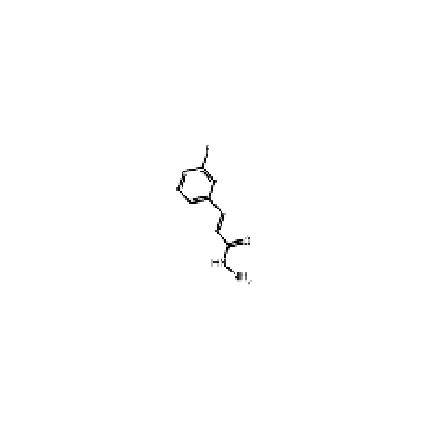 NNC(=O)C=Cc1cccc(F)c1